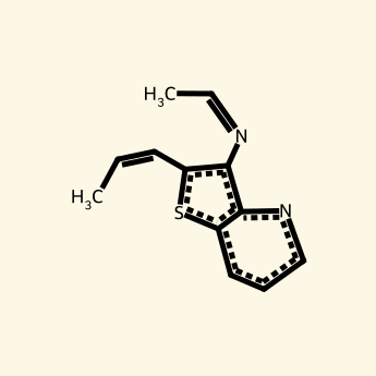 C/C=C\c1sc2cccnc2c1/N=C\C